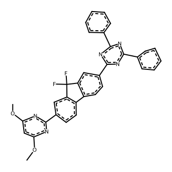 COc1cc(OC)nc(-c2ccc3c(c2)C(F)(F)c2cc(-c4nc(-c5ccccc5)nc(-c5ccccc5)n4)ccc2-3)n1